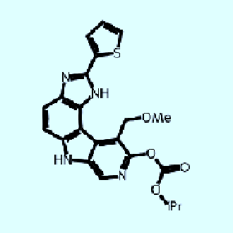 COCc1c(OC(=O)OC(C)C)ncc2[nH]c3ccc4nc(-c5cccs5)[nH]c4c3c12